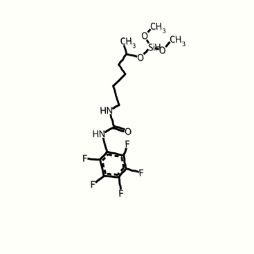 CO[SiH](OC)OC(C)CCCCNC(=O)Nc1c(F)c(F)c(F)c(F)c1F